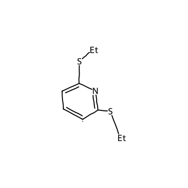 CCSc1[c]ccc(SCC)n1